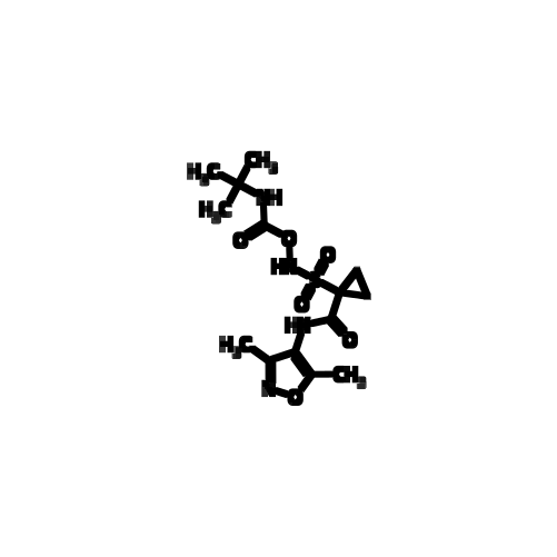 Cc1noc(C)c1NC(=O)C1(S(=O)(=O)NOC(=O)NC(C)(C)C)CC1